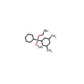 CCCO[Si](OCC(C)(C)C)(C1CCCCC1)C1CC(C)CC(C)C1